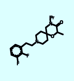 CC1OC2(CCN(CCc3cccc(F)c3F)CC2)CN(C(C)C)C1=O